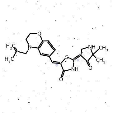 C=C(C)CN1CCOc2ccc(/C=c3\s/c(=C4\CNC(C)(C)C4=O)[nH]c3=O)cc21